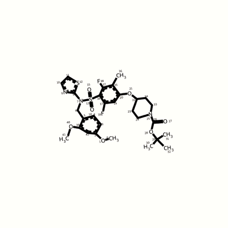 COc1ccc(CN(c2nccs2)S(=O)(=O)c2c(F)cc(OC3CCN(C(=O)OC(C)(C)C)CC3)c(C)c2F)c(OC)c1